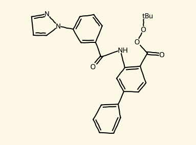 CC(C)(C)OOC(=O)c1ccc(-c2ccccc2)cc1NC(=O)c1cccc(-n2cccn2)c1